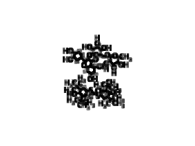 CC(C)(Sc1cc(C(C)(C)C)c(O)c(C(C)(C)C)c1)Sc1cc(C(C)(C)C)c(O)c(C(C)(C)C)c1.C[C@@H]1O[C@@H](OC[C@H]2O[C@@H](Oc3c(-c4ccc(O)c(O)c4)oc4cc(O)cc(O)c4c3=O)[C@H](O)[C@@H](O)[C@@H]2O)[C@H](O)[C@H](O)[C@H]1O